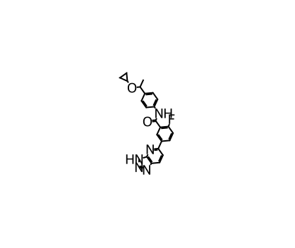 CC(OC1CC1)c1ccc(NC(=O)c2cc(-c3ccc4nn[nH]c4n3)ccc2F)cc1